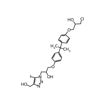 CC(C)(c1ccc(OCC(O)CCl)cc1)c1ccc(OCC(O)Cn2nnc(CO)c2I)cc1